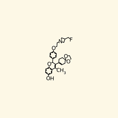 CC1=C(C2=CCC3(CC2)OCCO3)C(c2ccc(OCCN3CC(CF)C3)cc2)Oc2ccc(O)cc21